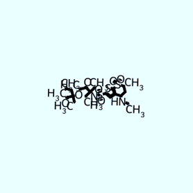 CCCC(CC)(OC(C)C(=O)C(CC)(CC)NS(=O)(=O)c1cc2c(s1)S(=O)(=O)[C@@H](C)CC2NCC)C(C)=O